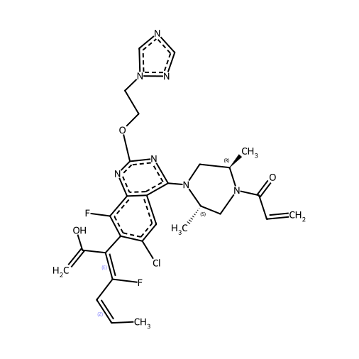 C=CC(=O)N1C[C@H](C)N(c2nc(OCCn3cncn3)nc3c(F)c(/C(C(=C)O)=C(F)/C=C\C)c(Cl)cc23)C[C@H]1C